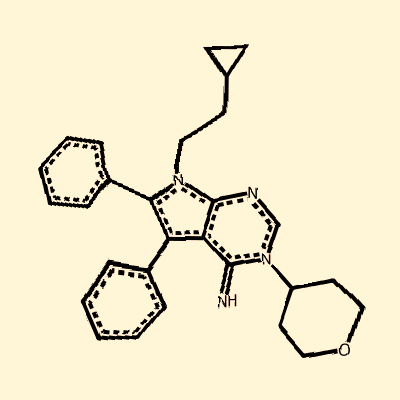 N=c1c2c(-c3ccccc3)c(-c3ccccc3)n(CCC3CC3)c2ncn1C1CCOCC1